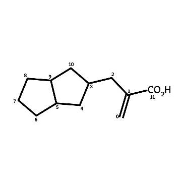 C=C(CC1CC2CCCC2C1)C(=O)O